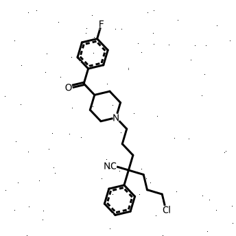 N#CC(CCCCl)(CCCN1CCC(C(=O)c2ccc(F)cc2)CC1)c1ccccc1